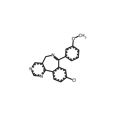 COc1cccc(C2=NCc3cncnc3-c3ccc(Cl)cc32)c1